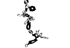 CC(C)(C)OC(=O)C1CC(c2ccc(Cl)cc2)=C(CN2CCN(c3ccc(C(=O)NS(=O)(=O)c4ccc(N[C@H](CCN5CCOCC5)CSc5ccccc5)c(S(=O)(=O)C(F)(F)F)c4)cc3)CC2)CN1